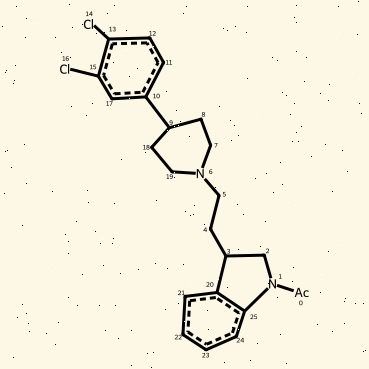 CC(=O)N1CC(CCN2CCC(c3ccc(Cl)c(Cl)c3)CC2)c2ccccc21